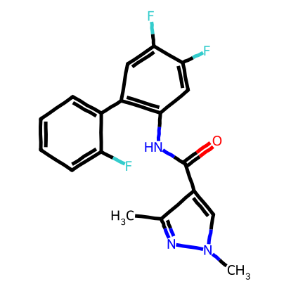 Cc1nn(C)cc1C(=O)Nc1cc(F)c(F)cc1-c1ccccc1F